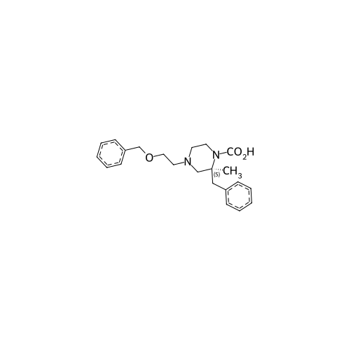 C[C@]1(Cc2ccccc2)CN(CCOCc2ccccc2)CCN1C(=O)O